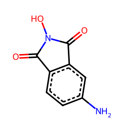 Nc1ccc2c(c1)C(=O)N(O)C2=O